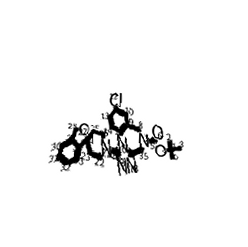 CC(C)(C)OC(=O)N1Cc2cc(Cl)ccc2-n2c(nnc2N2CCC3(CC2)OCc2ccccc23)C1